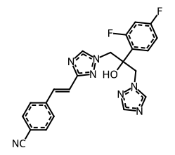 N#Cc1ccc(C=Cc2ncn(CC(O)(Cn3cncn3)c3ccc(F)cc3F)n2)cc1